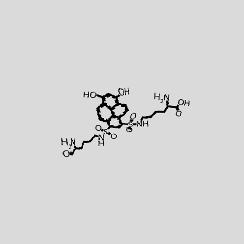 NC(C=O)CCCCNS(=O)(=O)c1cc(S(=O)(=O)NCCCCC(N)C(=O)O)c2ccc3c(O)cc(O)c4ccc1c2c43